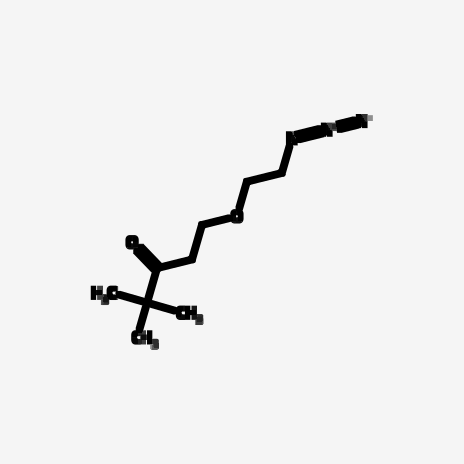 CC(C)(C)C(=O)CCOCCN=[N+]=[N-]